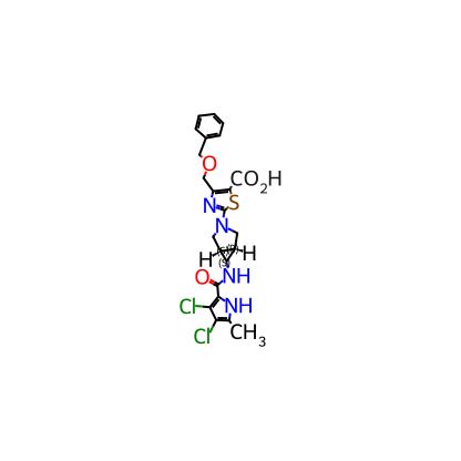 Cc1[nH]c(C(=O)N[C@H]2[C@@H]3CN(c4nc(COCc5ccccc5)c(C(=O)O)s4)C[C@@H]32)c(Cl)c1Cl